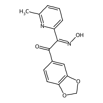 Cc1cccc(C(=NO)C(=O)c2ccc3c(c2)OCO3)n1